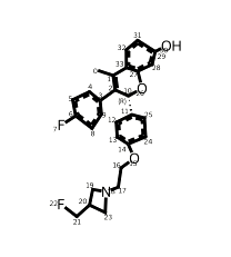 CC1=C(c2ccc(F)cc2)[C@@H](c2ccc(OCCN3CC(CF)C3)cc2)Oc2cc(O)ccc21